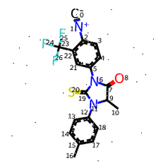 [C-]#[N+]c1ccc(N2C(=O)C(C)N(c3ccc(C)cc3)C2=S)cc1C(F)(F)F